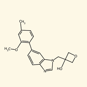 COc1cc(C)ccc1-c1ccc2ncn(CC3(O)COC3)c2c1